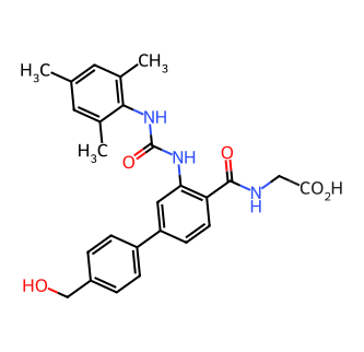 Cc1cc(C)c(NC(=O)Nc2cc(-c3ccc(CO)cc3)ccc2C(=O)NCC(=O)O)c(C)c1